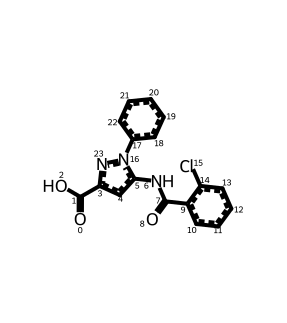 O=C(O)c1cc(NC(=O)c2ccccc2Cl)n(-c2ccccc2)n1